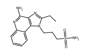 CCc1nc2c(N)nc3ccccc3c2n1CCCS(N)(=O)=O